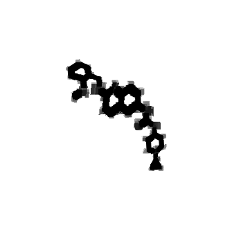 COc1ccccc1CNc1ccc2cc(NC(=O)NC3CCN(C4CC4)CC3)ccc2n1